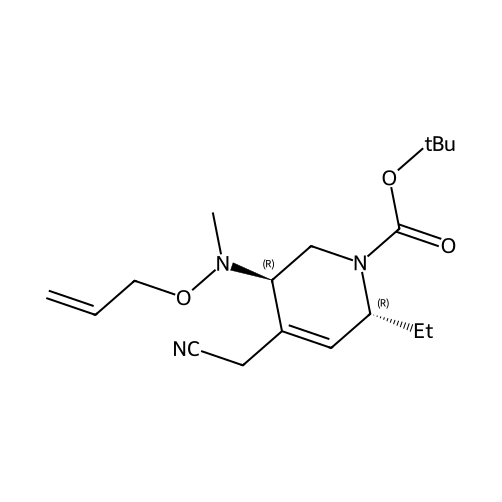 C=CCON(C)[C@H]1CN(C(=O)OC(C)(C)C)[C@H](CC)C=C1CC#N